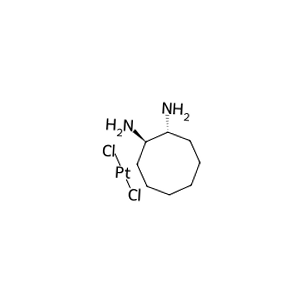 N[C@@H]1CCCCCC[C@H]1N.[Cl][Pt][Cl]